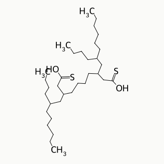 CCCCCCC(CCCC)CC(CCCCC(CC(O)=S)CC(CCCC)CCCCCC)CC(O)=S